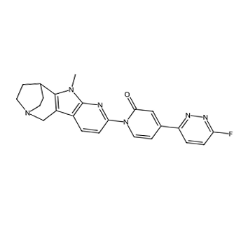 Cn1c2c(c3ccc(-n4ccc(-c5ccc(F)nn5)cc4=O)nc31)CN1CCC2CC1